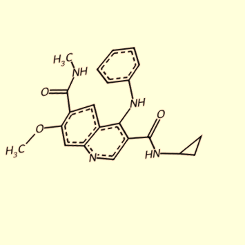 CNC(=O)c1cc2c(Nc3ccccc3)c(C(=O)NC3CC3)cnc2cc1OC